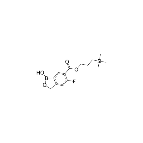 C[Si](C)(C)CCCOC(=O)c1cc2c(cc1F)COB2O